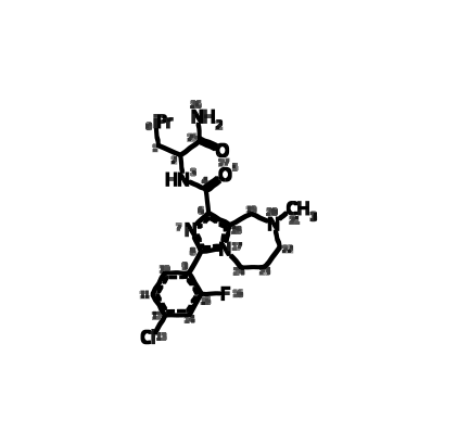 CC(C)CC(NC(=O)c1nc(-c2ccc(Cl)cc2F)n2c1CN(C)CCC2)C(N)=O